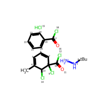 CC(C)(C)NN.CC1=CC=CC(Cl)(C(=O)Cl)C1Cl.Cl.O=C(Cl)c1ccccc1